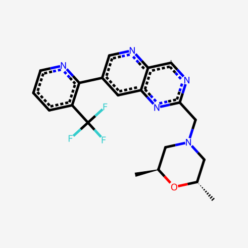 C[C@H]1CN(Cc2n[c]c3ncc(-c4ncccc4C(F)(F)F)cc3n2)C[C@H](C)O1